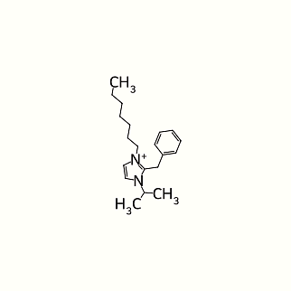 CCCCCCC[n+]1ccn(C(C)C)c1Cc1ccccc1